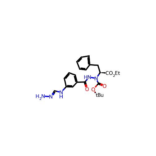 CCOC(=O)[C@H](Cc1ccccc1)N(NC(=O)c1cccc(NC=NN)c1)C(=O)OC(C)(C)C